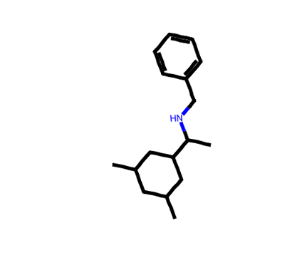 CC1CC(C)CC(C(C)NCc2ccccc2)C1